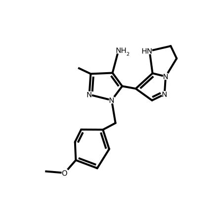 COc1ccc(Cn2nc(C)c(N)c2-c2cnn3c2NCC3)cc1